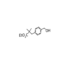 CCOC(=O)C(C)(C)Cc1ccc(CO)cc1